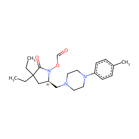 CCC1(CC)C[C@H](CN2CCN(c3ccc(C)cc3)CC2)N(OC=O)C1=O